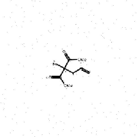 C=CCC(CCCC)(C(=O)OC)C(=O)OC